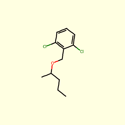 CCCC(C)OCc1c(Cl)cccc1Cl